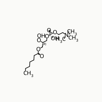 CCCCCCC(=O)OC[C@H](COP(=O)(O)OCC[N+](C)(C)C)OO